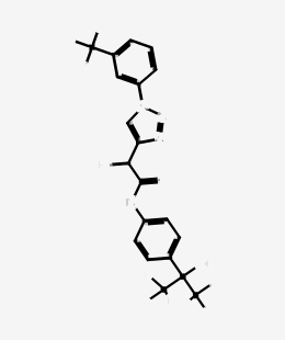 O=C(Nc1ccc(C(O)(C(F)(F)F)C(F)(F)F)cc1)C(O)c1cn(-c2cccc(C(F)(F)F)c2)nn1